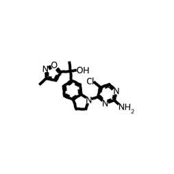 Cc1cc(C(C)(O)c2ccc3c(c2)N(c2nc(N)ncc2Cl)CC3)on1